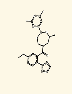 CCc1ccc(-n2nccn2)c(C(=O)N2CCN(c3cc(C)nc(C)n3)O[C@@H](C)C2)c1